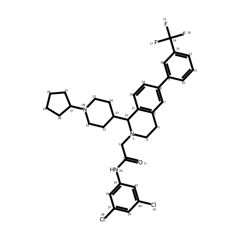 O=C(CN1CCc2cc(-c3cccc(C(F)(F)F)c3)ccc2C1C1CCN(C2CCCC2)CC1)Nc1cc(Cl)cc(Cl)c1